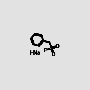 O=S(=O)(F)Cc1ccccc1.[NaH]